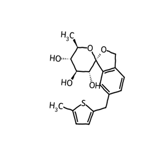 Cc1ccc(Cc2ccc3c(c2)[C@]2(OC3)O[C@H](C)[C@@H](O)[C@H](O)[C@H]2O)s1